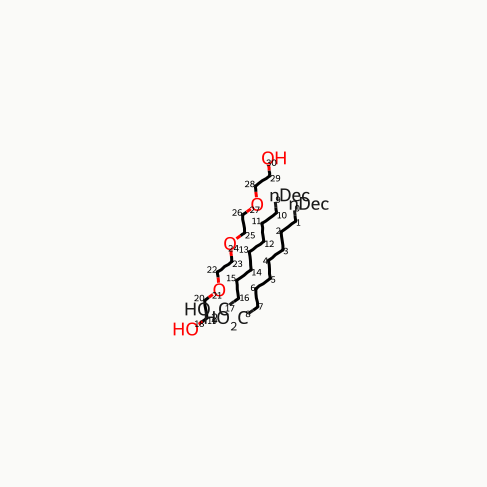 CCCCCCCCCCCCCCCCCC(=O)O.CCCCCCCCCCCCCCCCCC(=O)O.OCCOCCOCCOCCO